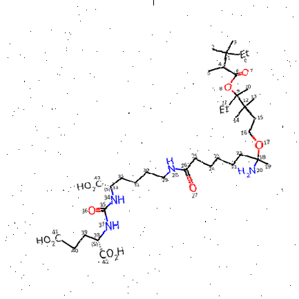 CCC(C)(C)C(C)C(=O)OC(C)(CC)C(C)(C)CCOC(C)(N)CCCCCC(=O)NCCCC[C@H](NC(=O)N[C@@H](CCC(=O)O)C(=O)O)C(=O)O